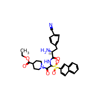 CCOC(=O)C1CCN(C(=O)C(NC(=O)[C@@H](N)Cc2ccc(C#N)cc2)S(=O)(=O)c2ccc3ccccc3c2)CC1